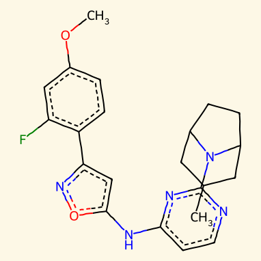 COc1ccc(-c2cc(Nc3ccnc(N4C5CCC4CC(C)C5)n3)on2)c(F)c1